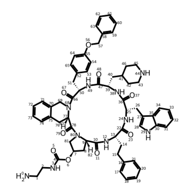 NCCNC(=O)O[C@@H]1C[C@H]2C(=O)N[C@@H](CCc3ccccc3)C(=O)N[C@@H](Cc3c[nH]c4ccccc34)C(=O)N[C@@H](CC3CCNCC3)C(=O)N[C@@H](Cc3ccc(OCc4ccccc4)cc3)C(=O)N3Cc4ccccc4C[C@H]3C(=O)N2C1